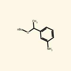 CCCCOC(C)c1cccc(N)c1